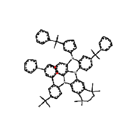 Cc1cc2c3c(c1)N(c1ccc(C(C)(C)C)cc1-c1cccc(-c4ccccc4)c1)c1cc4c(cc1B3c1ccc(C(C)(C)c3ccccc3)cc1N2c1cccc(C(C)(C)c2ccccc2)c1)C(C)(C)CCC4(C)C